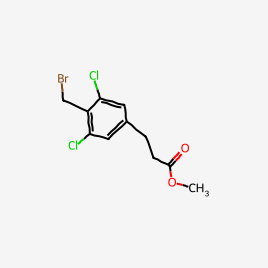 COC(=O)CCc1cc(Cl)c(CBr)c(Cl)c1